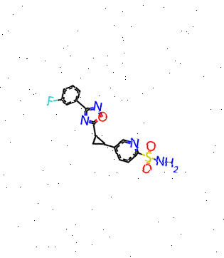 NS(=O)(=O)c1ccc(C2CC2c2nc(-c3cccc(F)c3)no2)cn1